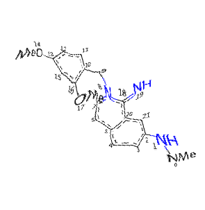 CNNc1ccc2ccn(Cc3ccc(OC)cc3OC)c(=N)c2c1